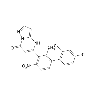 Cc1c(-c2ccc(Cl)cc2Cl)ccc([N+](=O)[O-])c1-c1cc(=O)n2nccc2[nH]1